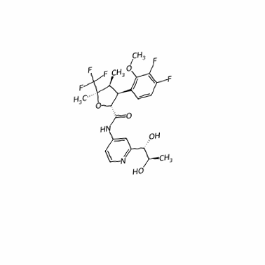 COc1c([C@H]2[C@H](C(=O)Nc3ccnc([C@H](O)[C@@H](C)O)c3)O[C@@](C)(C(F)(F)F)[C@H]2C)ccc(F)c1F